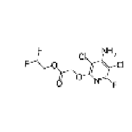 Nc1c(Cl)c(F)nc(OCC(=O)OCC(F)F)c1Cl